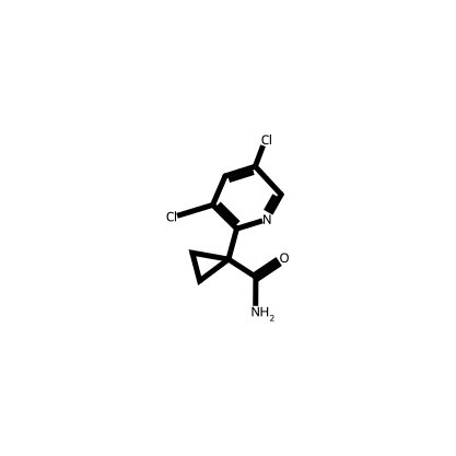 NC(=O)C1(c2ncc(Cl)cc2Cl)CC1